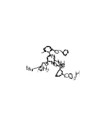 Cc1cccc(OCc2ccccc2)c1-c1cc(OC[C@H](N)CC(C)(C)C)nc(NS(=O)(=O)c2cccc(C(=O)O)c2)n1